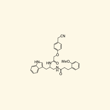 COc1ccccc1CCC(=O)NCC(Cc1c[nH]c2ccccc12)NC(=O)COc1ccc(CC#N)cc1